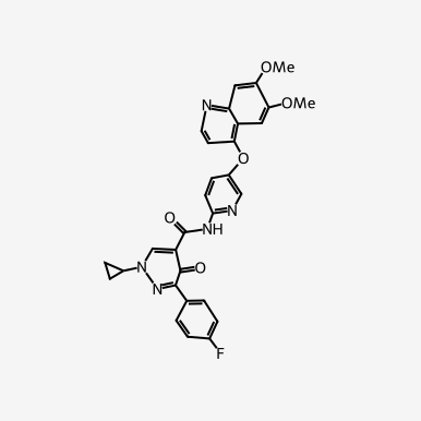 COc1cc2nccc(Oc3ccc(NC(=O)c4cn(C5CC5)nc(-c5ccc(F)cc5)c4=O)nc3)c2cc1OC